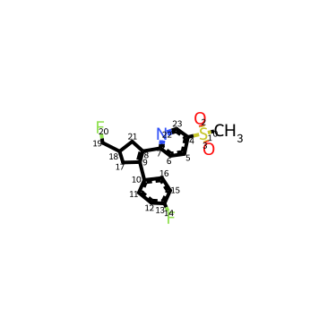 CS(=O)(=O)c1ccc(C2=C(c3ccc(F)cc3)CC(CF)C2)nc1